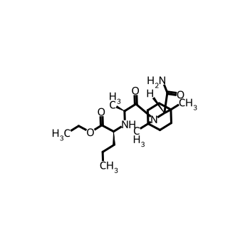 CCC[C@H](N[C@@H](C)C(=O)N1[C@H](C(N)=O)C2(C)CCC1(C)CC2)C(=O)OCC